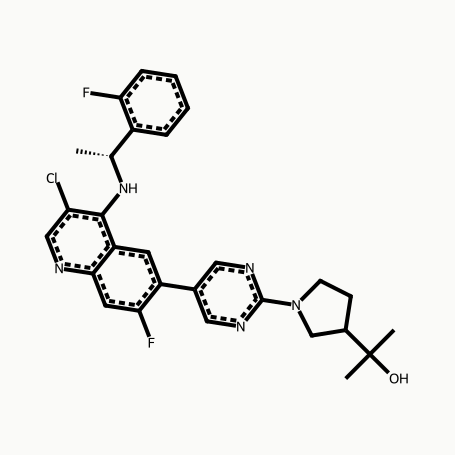 C[C@@H](Nc1c(Cl)cnc2cc(F)c(-c3cnc(N4CCC(C(C)(C)O)C4)nc3)cc12)c1ccccc1F